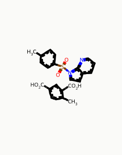 Cc1ccc(C(=O)O)cc1C(=O)O.Cc1ccc(S(=O)(=O)n2ccc3cccnc32)cc1